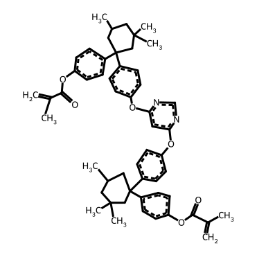 C=C(C)C(=O)Oc1ccc(C2(c3ccc(Oc4cc(Oc5ccc(C6(c7ccc(OC(=O)C(=C)C)cc7)CC(C)CC(C)(C)C6)cc5)ncn4)cc3)CC(C)CC(C)(C)C2)cc1